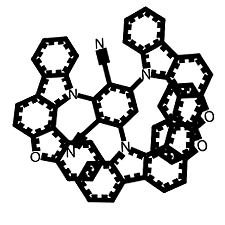 N#Cc1c(-n2c3ccccc3c3ccc4oc5ccccc5c4c32)cc(-n2c3ccccc3c3ccc4oc5ccccc5c4c32)c(C#N)c1-n1c2ccccc2c2ccc3oc4ccccc4c3c21